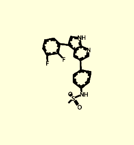 CS(=O)(=O)Nc1ccc(-c2cnc3[nH]cc(-c4cccc(F)c4F)c3c2)cc1